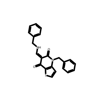 O=C1/C(=C/NCc2ccccc2)C(=O)N(Cc2ccccc2)c2ccsc21